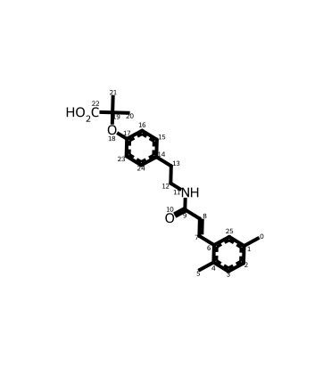 Cc1ccc(C)c(C=CC(=O)NCCc2ccc(OC(C)(C)C(=O)O)cc2)c1